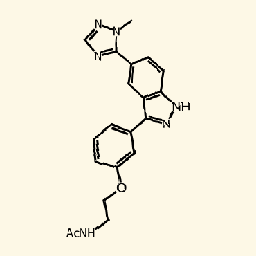 CC(=O)NCCOc1cccc(-c2n[nH]c3ccc(-c4ncnn4C)cc23)c1